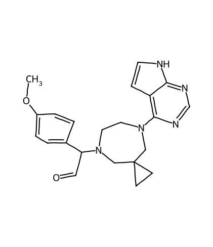 COc1ccc(C(C=O)N2CCN(c3ncnc4[nH]ccc34)CC3(CC3)C2)cc1